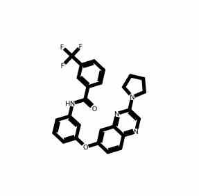 O=C(Nc1cccc(Oc2ccc3ncc(N4CCCC4)nc3c2)c1)c1cccc(C(F)(F)F)c1